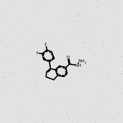 NNC(=O)c1ccc2c(c1)C(c1ccc(F)c(F)c1)=CCC2